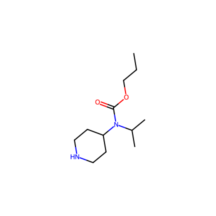 CCCOC(=O)N(C(C)C)C1CCNCC1